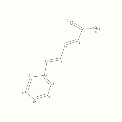 CC(C)(C)C(=O)C=CC=Cc1ccccc1